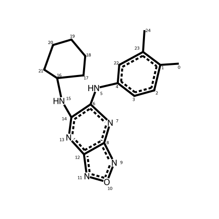 Cc1ccc(Nc2nc3nonc3nc2NC2CCCCC2)cc1C